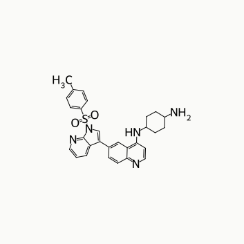 Cc1ccc(S(=O)(=O)n2cc(-c3ccc4nccc(NC5CCC(N)CC5)c4c3)c3cccnc32)cc1